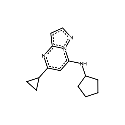 c1cc2nc(C3CC3)cc(NC3CCCC3)n2n1